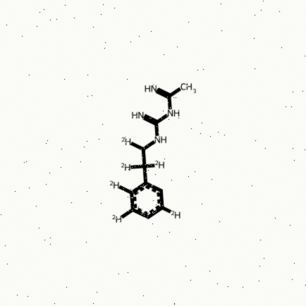 [2H]c1cc([2H])c([2H])c(C([2H])([2H])C([2H])NC(=N)NC(C)=N)c1